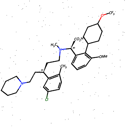 COc1cccc([C@H](C(=O)O)N(C)CC[C@H](CCN2CCCCC2)c2cc(Cl)ccc2C)c1C1CCC(OC(F)(F)F)CC1